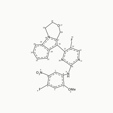 COc1cc(F)c([N+](=O)[O-])cc1Nc1ncc(F)c(-c2c3n(c4ccccc24)CCOC3)n1